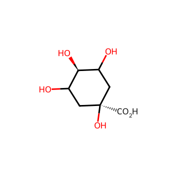 O=C(O)[C@]1(O)CC(O)[C@@H](O)C(O)C1